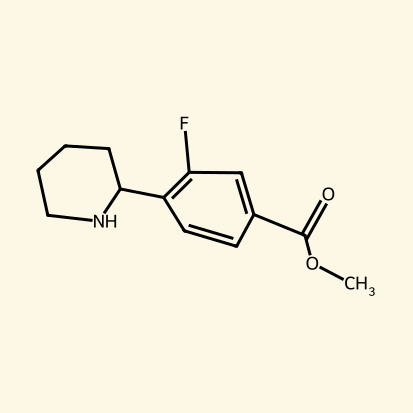 COC(=O)c1ccc(C2CCCCN2)c(F)c1